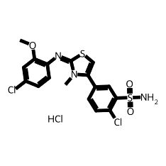 COc1cc(Cl)ccc1/N=c1/scc(-c2ccc(Cl)c(S(N)(=O)=O)c2)n1C.Cl